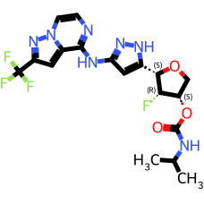 CC(C)NC(=O)O[C@H]1CO[C@@H](c2cc(Nc3nccn4nc(C(F)(F)F)cc34)n[nH]2)[C@H]1F